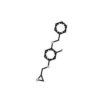 Fc1cc(OCC2CO2)ccc1OCc1ccccc1